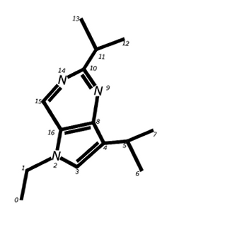 CCn1cc(C(C)C)c2nc(C(C)C)ncc21